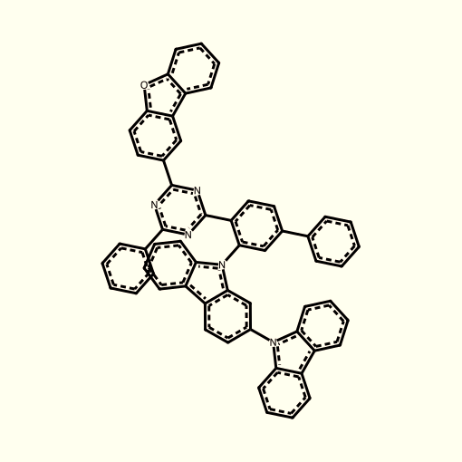 c1ccc(-c2ccc(-c3nc(-c4ccccc4)nc(-c4ccc5oc6ccccc6c5c4)n3)c(-n3c4ccccc4c4ccc(-n5c6ccccc6c6ccccc65)cc43)c2)cc1